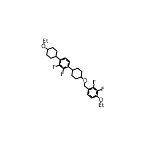 CCOc1ccc(COC2CCC(c3ccc(C4CCC(OCC)CC4)c(F)c3F)CC2)c(F)c1F